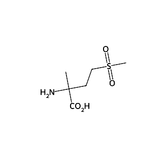 CC(N)(CCS(C)(=O)=O)C(=O)O